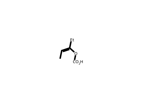 CC=C(CC)OC(=O)O